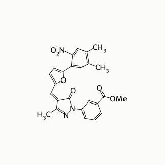 COC(=O)c1cccc(N2N=C(C)/C(=C/c3ccc(-c4cc(C)c(C)cc4[N+](=O)[O-])o3)C2=O)c1